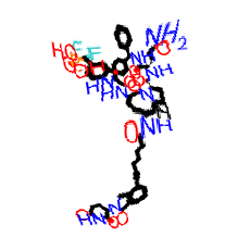 NC(=O)CC[C@H](NC(=O)[C@@H]1CC[C@@H]2C[C@H](NC(=O)CCCCC#Cc3cccc4c3CN(C3CCC(=O)NC3=O)C4=O)CC[C@H](NC(=O)c3cc4cc(C(F)(F)P(=O)(O)O)ccc4[nH]3)C(=O)N21)C(=O)NC(c1ccccc1)c1ccccc1